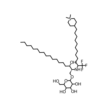 CCCCCCCCCCCCCCC[C@@H](O)[C@H](COC1OC(CO)C(O)C(O)C1O)NC(CCCCCCCCCCC1CCS(C)(C)CC1)C(F)(F)F